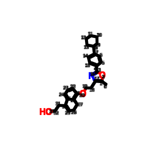 Cc1oc(-c2ccc(C3CCCCC3)cc2)nc1CCOc1cccc2c1CCC=C2CCO